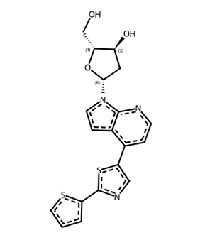 OC[C@H]1O[C@@H](n2ccc3c(-c4cnc(-c5cccs5)s4)ccnc32)C[C@@H]1O